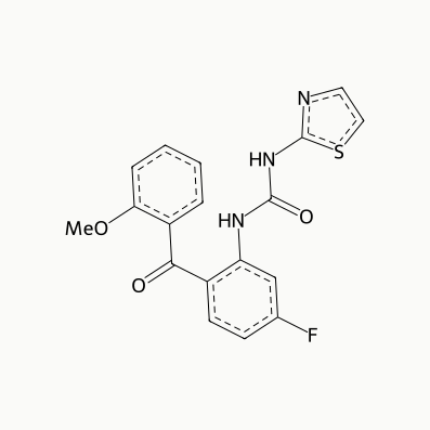 COc1ccccc1C(=O)c1ccc(F)cc1NC(=O)Nc1nccs1